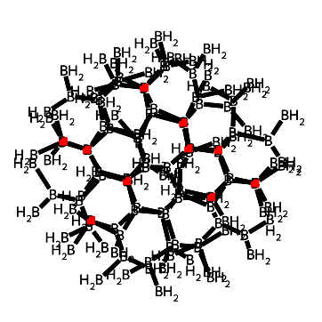 BBB(B)B(B(B(B)B)B(B)B)B(B(B(B)B)B(B)B)B(B(B(B(B)B)B(B)B)B(B(B)B)B(B)B)B(B(B(B(B(B)B)B(B)B)B(B(B)B)B(B)B)B(B(B(B)B)B(B)B)B(B(B)B)B(B)B)B(B(B(B(B(B)B)B(B)B)B(B(B)B)B(B)B)B(B(B(B)B)B(B)B)B(B(B)B)B(B)B)B(B(B(B(B)B)B(B)B)B(B(B)B)B(B)B)B(B(B(B)B)B(B)B)B(B(B)B)B(B)B